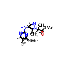 CNC(=O)C(C)(C)n1ncc(Nc2ncc(C(F)(F)F)c(NC)n2)c1C